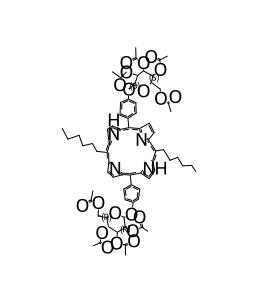 CCCCCCc1c2nc(c(-c3ccc(O[C@@H]4OC(COC(C)=O)[C@H](OC(C)=O)C(OC(C)=O)C4OC(C)=O)cc3)c3ccc([nH]3)c(CCCCCC)c3nc(c(-c4ccc(OC5O[C@H](COC(C)=O)C(OC(C)=O)C(OC(C)=O)[C@H]5OC(C)=O)cc4)c4ccc1[nH]4)C=C3)C=C2